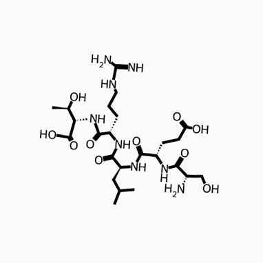 CC(C)C[C@H](NC(=O)[C@H](CCC(=O)O)NC(=O)[C@@H](N)CO)C(=O)N[C@@H](CCCNC(=N)N)C(=O)N[C@H](C(=O)O)[C@@H](C)O